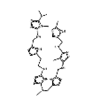 Cc1ccc(CNc2nnc(NCc3ccc(CN(C)c4nnc(NCCc5ccc(CNc6nnc(N(C)C)n6C)[nH]5)[nH]4)[nH]3)n2C)[nH]1